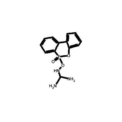 NC(N)NOP1(=O)Oc2ccccc2-c2ccccc21